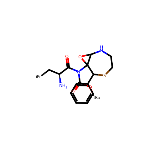 CC(C)C[C@H](N)C(=O)N(C(=O)OC(C)(C)C)C12OC1NCCSC2c1ccccc1